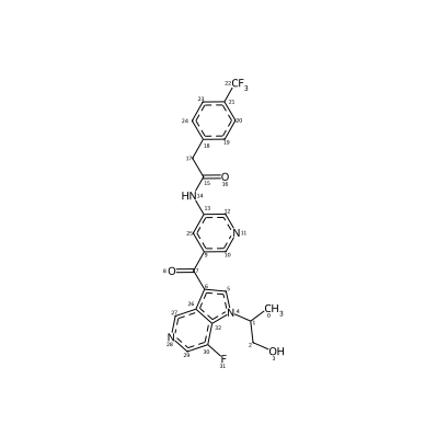 CC(CO)n1cc(C(=O)c2cncc(NC(=O)Cc3ccc(C(F)(F)F)cc3)c2)c2cncc(F)c21